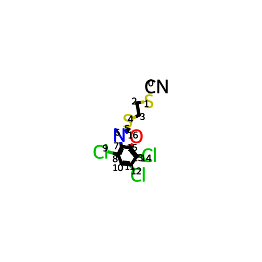 N#CSCCSc1nc2c(Cl)cc(Cl)c(Cl)c2o1